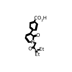 CCN(CC)C(=O)Cn1cccc(-c2ccc(C(=O)O)cc2)c1=O